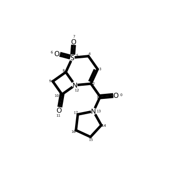 O=C(C1=CCS(=O)(=O)C2CC(=O)N12)N1CCCC1